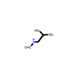 CCCCC(CCCC)CNC=O